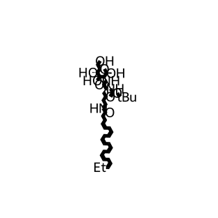 CC/C=C\C/C=C\C/C=C\C/C=C\C/C=C\C/C=C\CCC(=O)NCCCC[C@H](NC(=O)OC(C)(C)C)C(=O)N[C@H]1C(O)[C@H](O)C(CO)O[C@H]1O